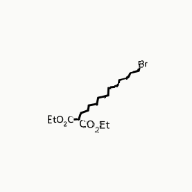 CCOC(=O)C(CCCCCCCCCCCCBr)C(=O)OCC